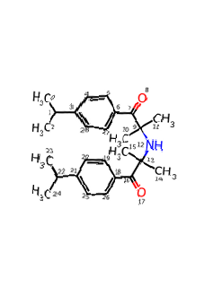 CC(C)c1ccc(C(=O)C(C)(C)NC(C)(C)C(=O)c2ccc(C(C)C)cc2)cc1